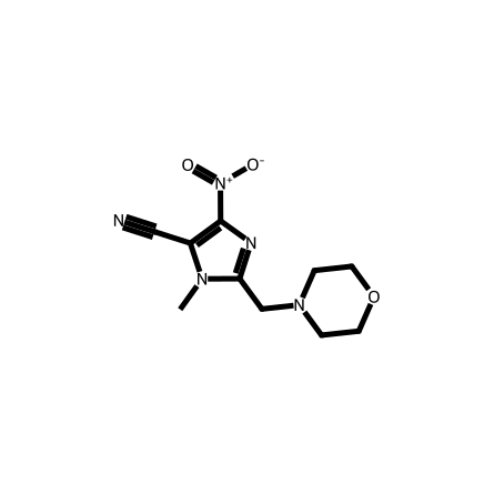 Cn1c(CN2CCOCC2)nc([N+](=O)[O-])c1C#N